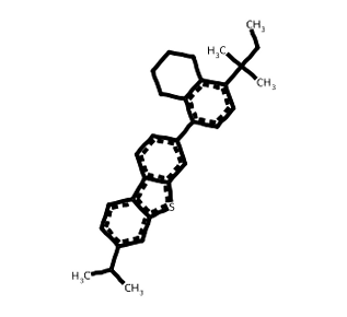 CCC(C)(C)c1ccc(-c2ccc3c(c2)sc2cc(C(C)C)ccc23)c2c1CCCC2